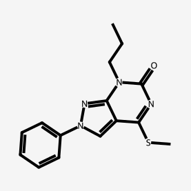 CCCn1c(=O)nc(SC)c2cn(-c3ccccc3)nc21